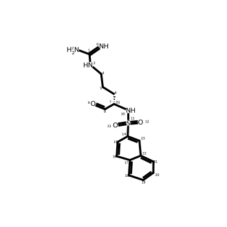 N=C(N)NCCC[C@@H]([C]=O)NS(=O)(=O)c1ccc2ccccc2c1